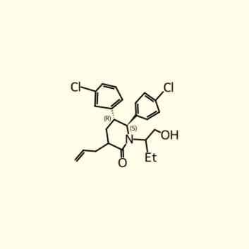 C=CCC1C[C@H](c2cccc(Cl)c2)[C@@H](c2ccc(Cl)cc2)N(C(CC)CO)C1=O